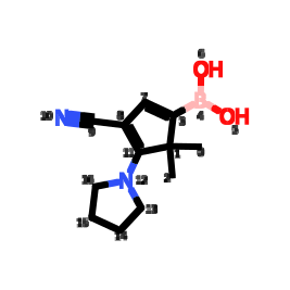 CC1(C)C(B(O)O)=CC(C#N)=C1N1CCCC1